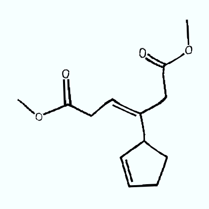 COC(=O)C/C=C(/CC(=O)OC)C1C=CCC1